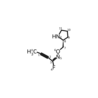 CC#C/C(F)=N\OC[C@@H]1CCCN1